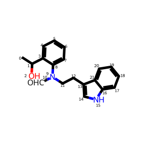 CC(O)c1ccccc1N(C=O)CCc1c[nH]c2ccccc12